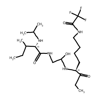 CCC(=O)[C@H](CCCCNC(=O)C(F)(F)F)NC(O)CNC(=O)[C@@H](NC(C)C)C(C)CC